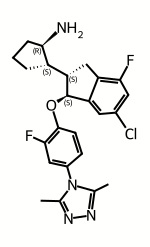 Cc1nnc(C)n1-c1ccc(O[C@@H]2c3cc(Cl)cc(F)c3C[C@H]2[C@@H]2CCC[C@H]2N)c(F)c1